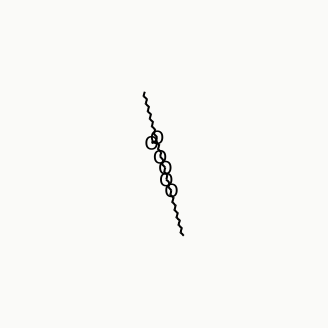 CCCCCCCCCCCCOCCOCCOCCOCCCC(=O)OCCCCCCCCCCCC